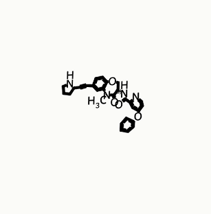 CN1C(=O)[C@@H](NC(=O)c2cc(Oc3ccccc3)ccn2)COc2ccc(C#CC3CCCN3)cc21